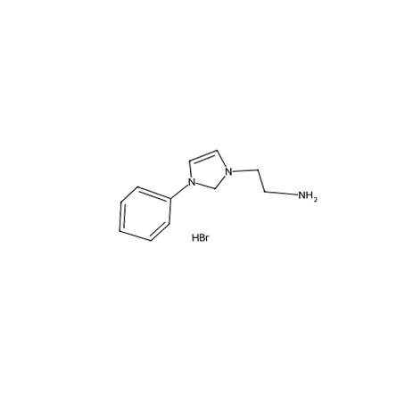 Br.NCCN1C=CN(c2ccccc2)C1